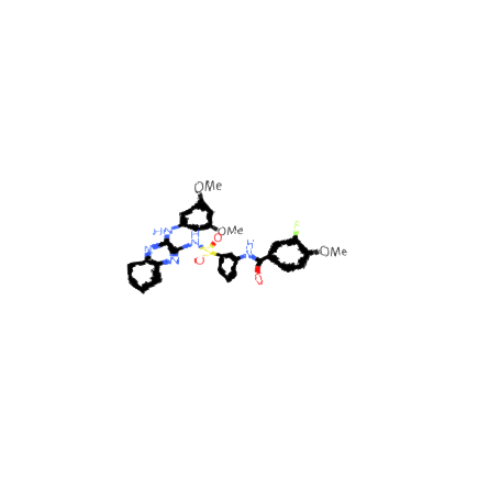 COc1cc(Nc2nc3ccccc3nc2NS(=O)(=O)c2cccc(NC(=O)c3ccc(OC)c(F)c3)c2)cc(OC)c1